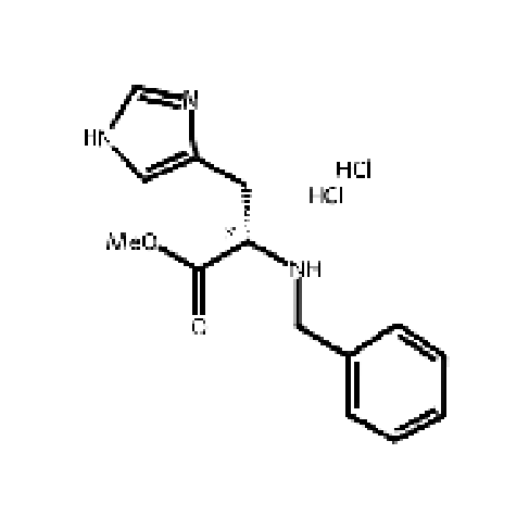 COC(=O)[C@H](Cc1c[nH]cn1)NCc1ccccc1.Cl.Cl